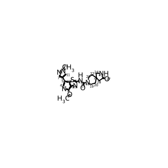 COc1ncc(-c2cnn(C)c2)c2sc(NC(=O)N3CCC4(CC3)CNC(=O)C4)nc12